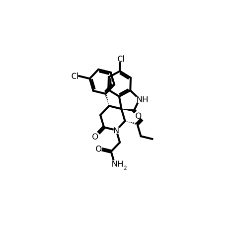 C=C(CC)[C@@H]1N(CC(N)=O)C(=O)C[C@H](c2cccc(Cl)c2)[C@@]12C(=O)Nc1cc(Cl)ccc12